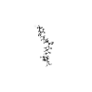 Cn1cc(OC2CC3(C2)CN(C(=O)N2CC4(CC(c5nc(C6CC6)n[nH]5)C4)C2)C3)cn1